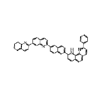 C1=CCC2N=C(c3ccc4ccc(-c5ccc6cc(C7C=Cc8ccc9ccc(-c%10ccccc%10)nc9c8N7)ccc6c5)nc4c3)C=CC2=C1